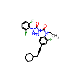 CCN(C(=O)n1nnn(-c2c(F)cccc2F)c1=O)c1ccc(C#CCC2CCCCC2)cc1F